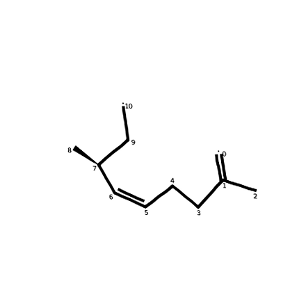 [CH]=C(C)CC/C=C\[C@@H](C)C[CH2]